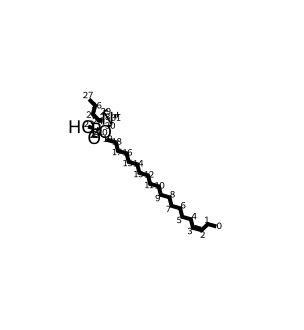 CC/C=C\CCCCCCCCCCCCCCCCOP(=O)(O)C(CCC)[N+](C)(C)C